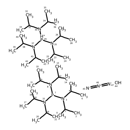 CC(C)N(C(C)C)P(N(C(C)C)C(C)C)N(C(C)C)C(C)C.CC(C)N(C(C)C)[PH+](N(C(C)C)C(C)C)N(C(C)C)C(C)C.Cl.[N-]=[N+]=[N-]